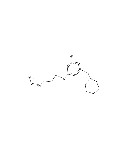 N/C=N\CCCOc1cccc(CN2CCCCC2)c1.[H+]